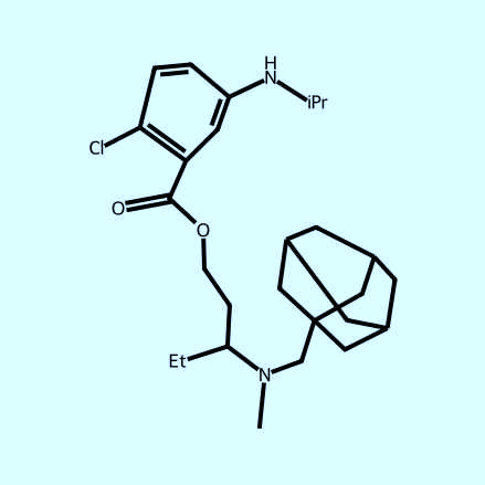 CCC(CCOC(=O)c1cc(NC(C)C)ccc1Cl)N(C)CC12CC3CC(CC(C3)C1)C2